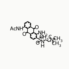 CC(=O)Nc1cccc2c1C(=O)c1ccc(S(=O)(=O)NCC[N+](C)(C)C)c(N)c1C2=O